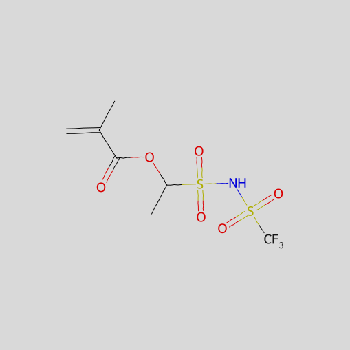 C=C(C)C(=O)OC(C)S(=O)(=O)NS(=O)(=O)C(F)(F)F